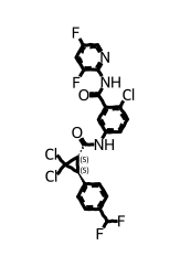 O=C(Nc1ncc(F)cc1F)c1cc(NC(=O)[C@@H]2[C@@H](c3ccc(C(F)F)cc3)C2(Cl)Cl)ccc1Cl